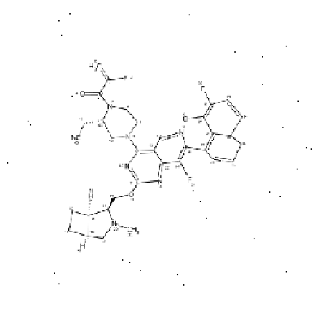 C=C(F)C(=O)N1CCN(c2nc(OC[C@@H]3[C@@H]4CC[C@@H]4CN3C)nc3c(F)c(C4=C5C(Cl)=C(F)C=CC5CC=C4)ncc23)C[C@@H]1CC#N